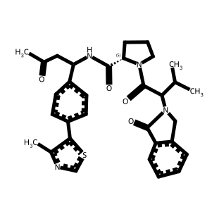 CC(=O)CC(NC(=O)[C@@H]1CCCN1C(=O)C(C(C)C)N1Cc2ccccc2C1=O)c1ccc(-c2scnc2C)cc1